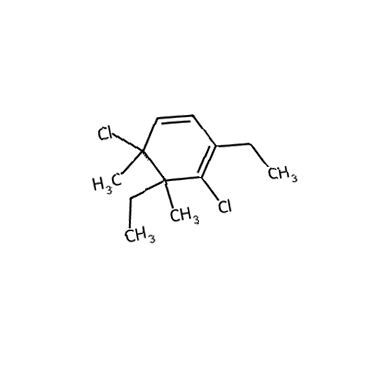 CCC1=C(Cl)C(C)(CC)C(C)(Cl)C=C1